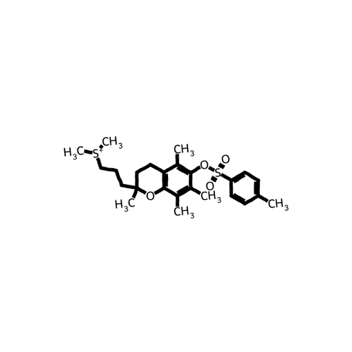 Cc1ccc(S(=O)(=O)Oc2c(C)c(C)c3c(c2C)CCC(C)(CCC[S+](C)C)O3)cc1